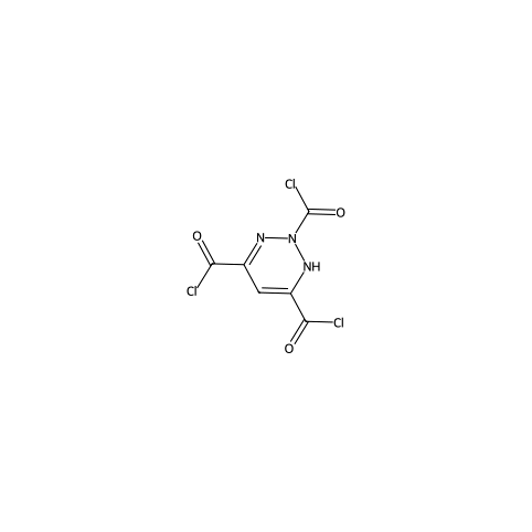 O=C(Cl)C1=CC(C(=O)Cl)=NN(C(=O)Cl)N1